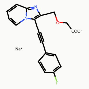 O=C([O-])COCc1nc2ccccn2c1C#Cc1ccc(F)cc1.[Na+]